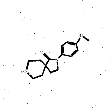 COc1ccc(N2CCC3(CCNCC3)C2=O)cc1